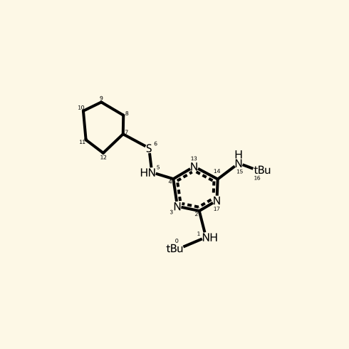 CC(C)(C)Nc1nc(NSC2CCCCC2)nc(NC(C)(C)C)n1